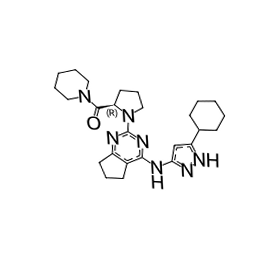 O=C([C@H]1CCCN1c1nc2c(c(Nc3cc(C4CCCCC4)[nH]n3)n1)CCC2)N1CCCCC1